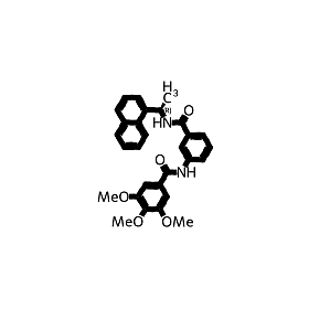 COc1cc(C(=O)Nc2cccc(C(=O)N[C@H](C)c3cccc4ccccc34)c2)cc(OC)c1OC